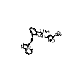 CC(C)(C)c1cc(NC(O)c2cccc(C#Cc3cnc4ccccn34)c2)no1